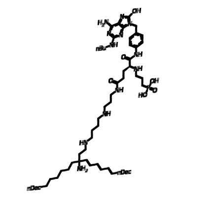 CCCCCCCCCCCCCCCCC(N)(CCCCCCCCCCCCCCCC)CCNCCCCNCCCNC(=O)CC[C@H](NCCCP(=O)(O)O)C(=O)Nc1ccc(Cn2c(O)nc3c(N)nc(NCCCC)nc32)cc1